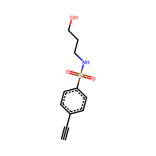 [C]#Cc1ccc(S(=O)(=O)NCCCO)cc1